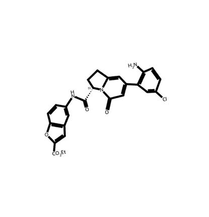 CCOC(=O)c1cc2cc(NC(=O)[C@@H]3CCc4cc(-c5cc(Cl)ccc5N)cc(=O)n43)ccc2o1